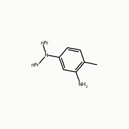 CCCN(CCC)c1ccc(C)c(N)c1